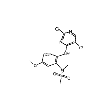 COc1ccc(Nc2nc(Cl)ncc2Cl)c(N(C)S(C)(=O)=O)c1